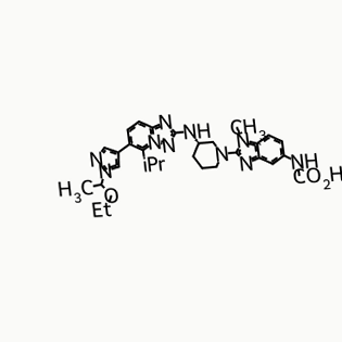 CCOC(C)n1cc(-c2ccc3nc(N[C@@H]4CCCN(c5nc6cc(NC(=O)O)ccc6n5C)C4)nn3c2C(C)C)cn1